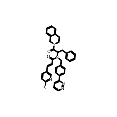 O=C(C(Cc1ccccc1)N(Cc1ccc(-c2cccnn2)cc1)C(=O)C=Cc1ccc(Cl)nc1)N1CCc2ccccc2C1